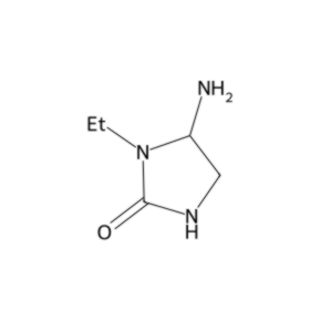 CCN1C(=O)NCC1N